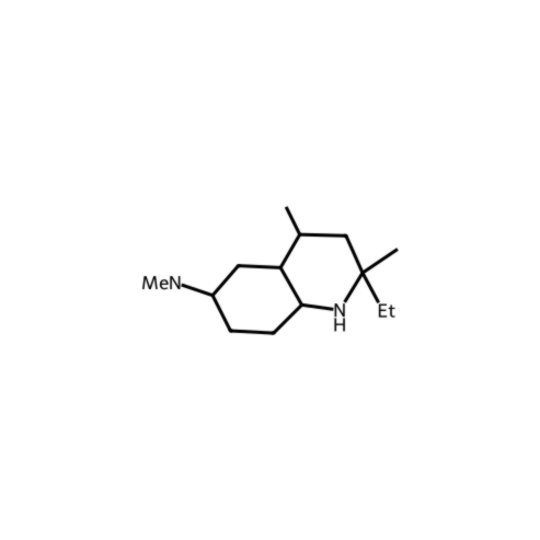 CCC1(C)CC(C)C2CC(NC)CCC2N1